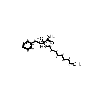 CCCCCCCCCNC(O)(CCc1ccccc1)C(N)=O